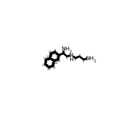 NCCCNCC(N)c1ccc2ccccc2c1